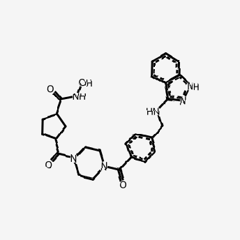 O=C(NO)C1CCC(C(=O)N2CCN(C(=O)c3ccc(CNc4n[nH]c5ccccc45)cc3)CC2)C1